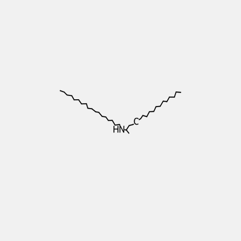 CCCCCCCCCCCCCCCCCCNC(C)CCCCCCCCCCCCCCCC